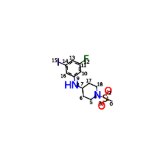 CS(=O)(=O)N1CCC(Nc2cc(F)cc(I)c2)CC1